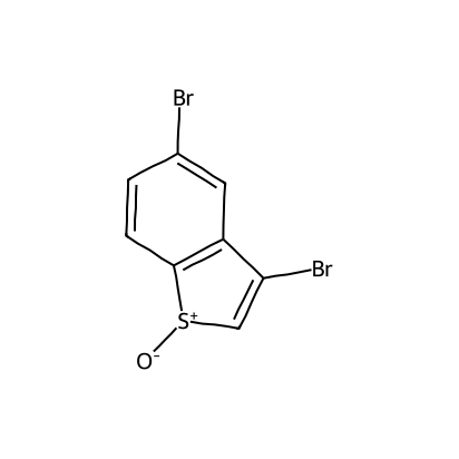 [O-][s+]1cc(Br)c2cc(Br)ccc21